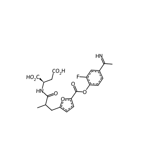 CC(=N)c1ccc(OC(=O)c2ccc(CC(C)C(=O)N[C@H](CC(=O)O)C(=O)O)o2)c(F)c1